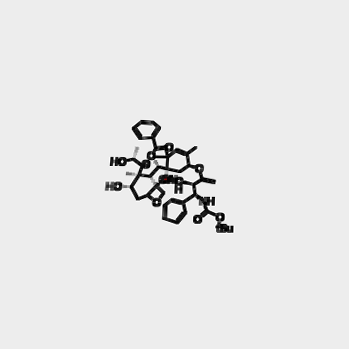 C=C(O[C@H]1C[C@@](O)([C@@H](OC(=O)c2ccccc2)[C@H]2[C@](C)(C(=O)[C@@H](C)O)[C@@H](O)CC3OC[C@]32OC(C)=O)C(C)(C)C=C1C)[C@H](O)[C@@H](NC(=O)OC(C)(C)C)c1ccccc1